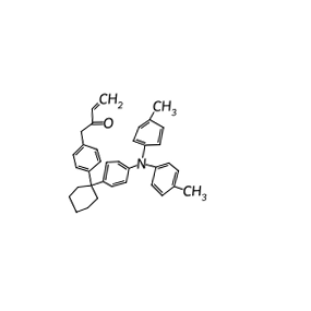 C=CC(=O)Cc1ccc(C2(c3ccc(N(c4ccc(C)cc4)c4ccc(C)cc4)cc3)CCCCC2)cc1